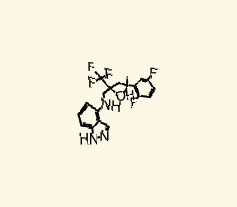 CC(C)(CC(O)(CNc1cccc2[nH]ncc12)C(F)(F)F)c1cc(F)ccc1F